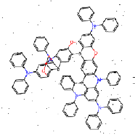 c1ccc(N(c2ccccc2)c2cc3c4c(c2)Oc2cc5c(cc2B4c2cc4c(cc2O3)N(c2ccccc2)c2cc(N(c3ccccc3)c3ccccc3)cc3c2B4c2ccccc2O3)B2c3ccccc3N(c3ccccc3)c3cc(N(c4ccccc4)c4ccccc4)cc(c32)N5c2ccccc2)cc1